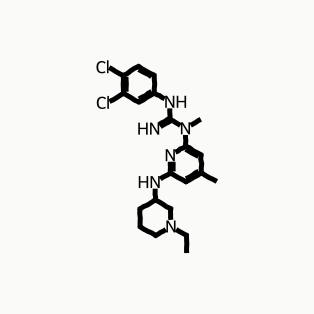 CCN1CCCC(Nc2cc(C)cc(N(C)C(=N)Nc3ccc(Cl)c(Cl)c3)n2)C1